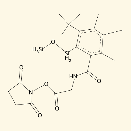 Cc1c(C)c(C(=O)NCC(=O)ON2C(=O)CCC2=O)c([SiH2]O[SiH3])c(C(C)(C)C)c1C